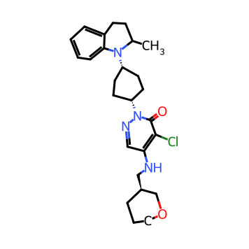 CC1CCc2ccccc2N1[C@H]1CC[C@@H](n2ncc(NC[C@@H]3CCCOC3)c(Cl)c2=O)CC1